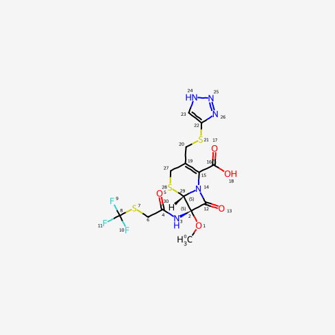 CO[C@@]1(NC(=O)CSC(F)(F)F)C(=O)N2C(C(=O)O)=C(CSc3c[nH]nn3)CS[C@H]21